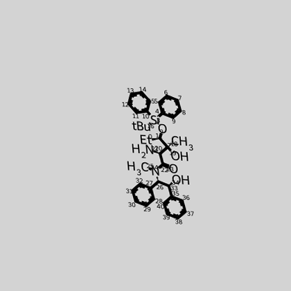 CC[C@@H](O[Si](c1ccccc1)(c1ccccc1)C(C)(C)C)[C@@](C)(O)[C@H](N)C(=O)N(C)[C@@H](c1ccccc1)[C@@H](O)c1ccccc1